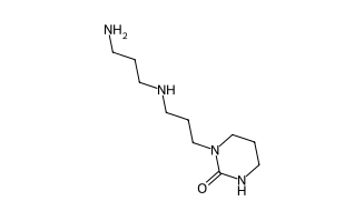 NCCCNCCCN1CCCNC1=O